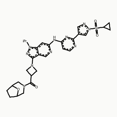 CC(C)n1nc(N2CC(C(=O)N3CC4CCC(C3)O4)C2)c2cnc(Nc3ccnc(-c4cnn(S(=O)(=O)C5CC5)c4)n3)cc21